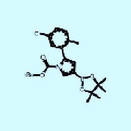 Cc1ccc(Cl)cc1-c1cc(B2OC(C)(C)C(C)(C)O2)cn1C(=O)OC(C)(C)C